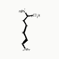 CCC/C=C/CCCC(CCC)C(=O)O